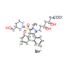 CC(C)c1c(S(=O)(=O)N2CCCC(CO)C2)c(-c2ccc(F)cc2)c(-c2ccc(F)cc2)n1CCC(O)CC(O)CC(=O)[O-].[Na+]